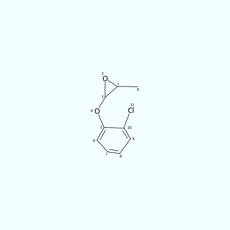 CC1OC1Oc1ccccc1Cl